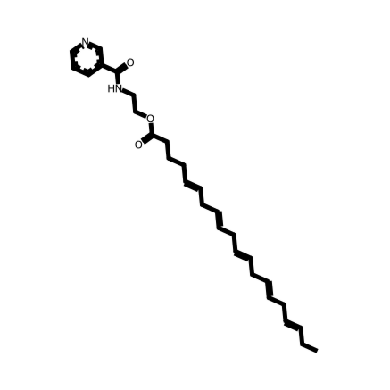 CCC=CCC=CCC=CCC=CCC=CCCCC(=O)OCCNC(=O)c1cccnc1